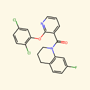 O=C(c1cccnc1Oc1cc(Cl)ccc1Cl)N1CCCc2ccc(F)cc21